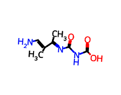 CC(=C\N)/C(C)=N/C(=O)NC(=O)O